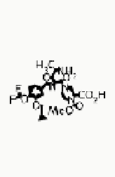 COC(=O)N1CCN(C(=O)c2nc(-c3ccc(OC(F)F)c(OCC4CC4)c3)oc2[C@H](C)N)CC1C(=O)O